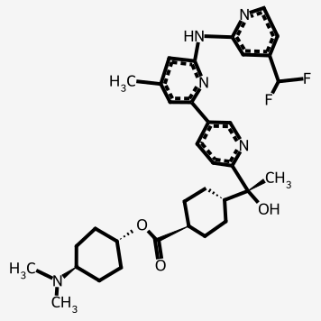 Cc1cc(Nc2cc(C(F)F)ccn2)nc(-c2ccc([C@](C)(O)[C@H]3CC[C@H](C(=O)O[C@H]4CC[C@H](N(C)C)CC4)CC3)nc2)c1